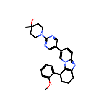 COc1ccccc1C1CCCc2nc3ccc(-c4cnc(N5CCC(C)(O)CC5)nc4)cn3c21